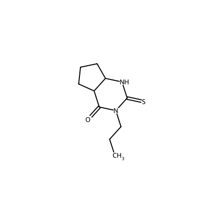 CCCN1C(=O)C2CCCC2NC1=S